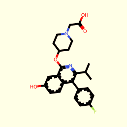 CC(C)c1nc(OC2CCN(CC(=O)O)CC2)c2cc(O)ccc2c1-c1ccc(F)cc1